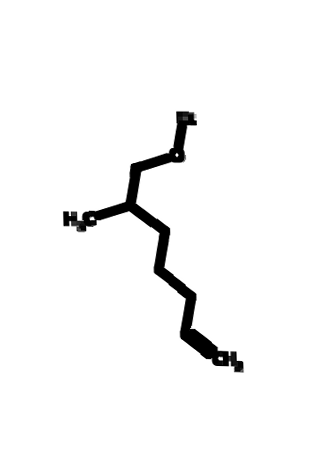 C=CCCCC(C)COCC